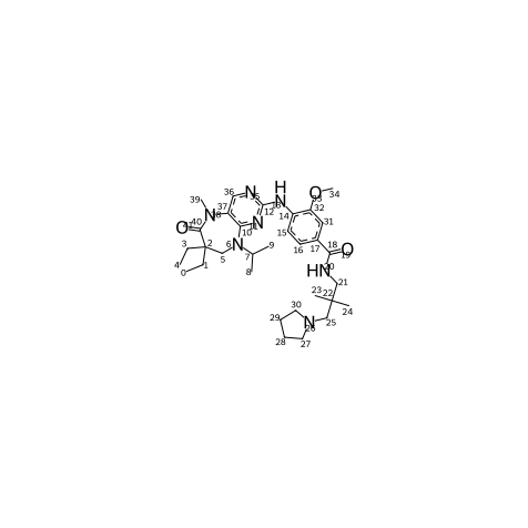 CCC1(CC)CN(C(C)C)c2nc(Nc3ccc(C(=O)NCC(C)(C)CN4CCCC4)cc3OC)ncc2N(C)C1=O